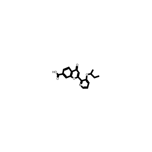 CCC(C)Oc1cccnc1-c1cc(=O)c2ccc(C(=O)O)cc2o1